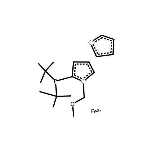 COC[c-]1cccc1P(C(C)(C)C)C(C)(C)C.[Fe+2].c1cc[cH-]c1